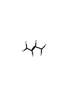 F/C(=C(/F)C(F)F)C(F)F